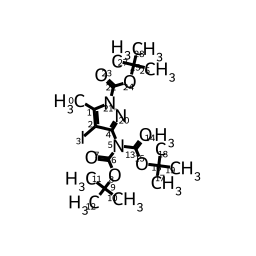 Cc1c(I)c(N(C(=O)OC(C)(C)C)C(=O)OC(C)(C)C)nn1C(=O)OC(C)(C)C